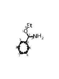 CCOC(N)c1cc[c]cc1